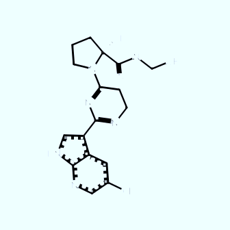 C[C@@]1(C(=O)NCC(F)(F)F)CCCN1C1=NC(c2c[nH]c3ncc(Cl)cc23)=NCC1